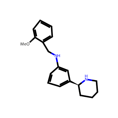 COc1ccccc1CNc1cccc([C@@H]2CCCCN2)c1